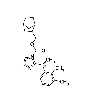 Cc1cccc([C@H](C)c2nccn2C(=O)OCC2CC3CCC2C3)c1C